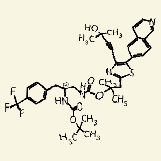 CC(C)(O)C#Cc1nc(CC(C)(C)OC(=O)NC[C@H](Cc2ccc(C(F)(F)F)cc2)NC(=O)OC(C)(C)C)sc1-c1ccc2cnccc2c1